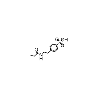 CCC(=O)NCCc1ccc(S(=O)(=O)O)cc1